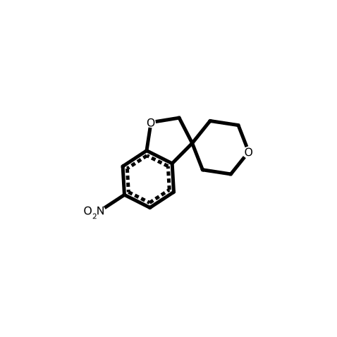 O=[N+]([O-])c1ccc2c(c1)OCC21CCOCC1